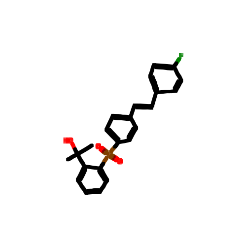 CC(C)(O)c1ccccc1S(=O)(=O)c1ccc(C=Cc2ccc(F)cc2)cc1